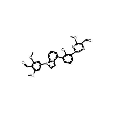 COc1cc(-n2ccc3c(-c4cccc(-c5cnc(C=O)c(OC)n5)c4Cl)cccc32)cc(OC)c1C=O